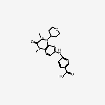 C[C@@H]1C(=O)N(C)c2ccc(Nc3ccc(C(=O)O)cc3)nc2N1C1CCOCC1